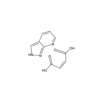 O=C(O)/C=C\C(=O)O.c1cnc2n[nH]cc2c1